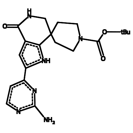 CC(C)(C)OC(=O)N1CCC2(CC1)CNC(=O)c1cc(-c3ccnc(N)n3)[nH]c12